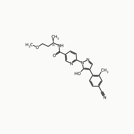 COCC[C@@H](C)NC(=O)c1ccc(-n2ncc(-c3ccc(C#N)cc3C)c2O)nc1